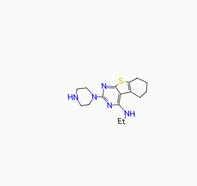 CCNc1nc(N2CCNCC2)nc2sc3c(c12)CCCC3